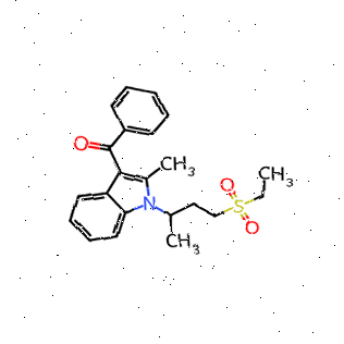 CCS(=O)(=O)CCC(C)n1c(C)c(C(=O)c2ccccc2)c2ccccc21